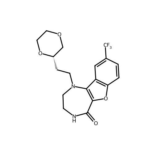 O=C1NCCN(CC[C@H]2COCCO2)c2c1oc1ccc(C(F)(F)F)cc21